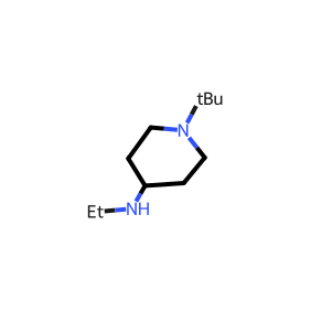 CCNC1CCN(C(C)(C)C)CC1